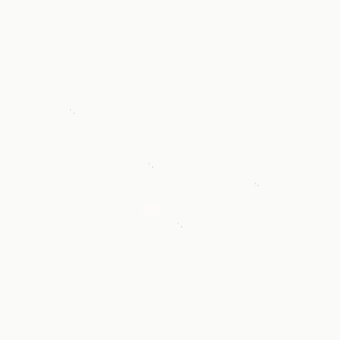 N#Cc1cccc(N/C(=C2\C(=O)Nc3ccc(N)cc32)c2ccccc2)c1